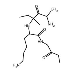 BC(N)C(=O)C(C)(CC)NC(CCCCN)C(=O)NCC(=O)CC